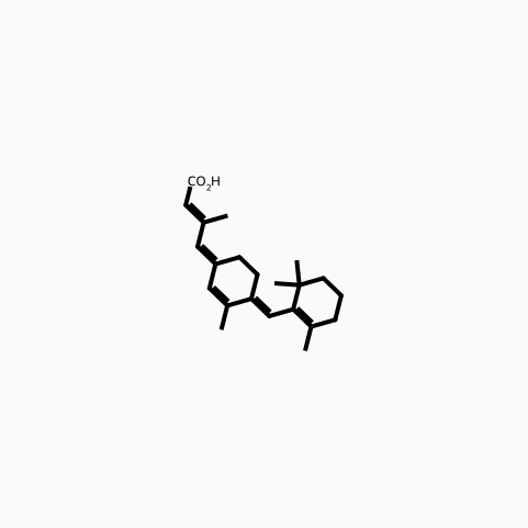 CC1=CC(=C/C(C)=C/C(=O)O)/CC/C1=C\C1=C(C)CCCC1(C)C